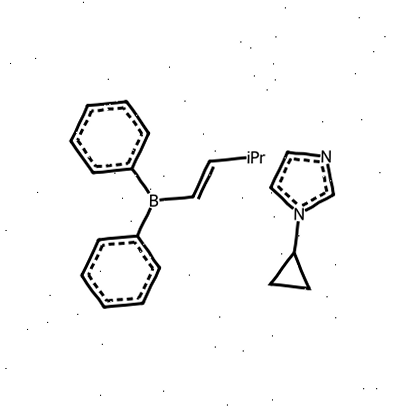 CC(C)C=CB(c1ccccc1)c1ccccc1.c1cn(C2CC2)cn1